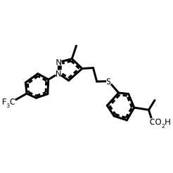 Cc1nn(-c2ccc(C(F)(F)F)cc2)cc1CCSc1cccc(C(C)C(=O)O)c1